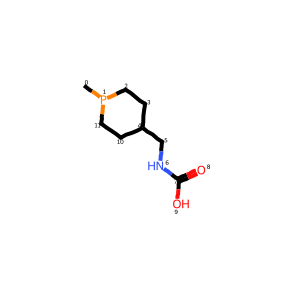 CP1CCC(CNC(=O)O)CC1